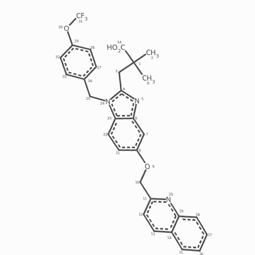 CC(C)(Cc1nc2cc(OCc3ccc4ccccc4n3)ccc2n1Cc1ccc(OC(F)(F)F)cc1)C(=O)O